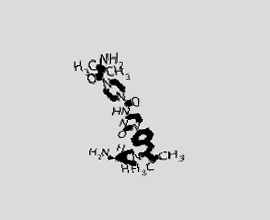 CC(C)C(Cc1ccc(-n2ccc(NC(=O)N3CCN(C(=O)C(C)(C)N)CC3)nc2=O)cc1)N1C[C@@H]2[C@@H](CN)[C@@H]2C1